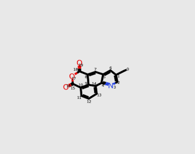 Cc1cnc2c(c1)cc1c3c(cccc32)C(=O)OC1=O